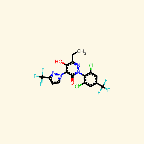 CCc1nn(-c2c(Cl)cc(C(F)(F)F)cc2Cl)c(=O)c(-n2ccc(C(F)(F)F)n2)c1O